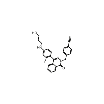 N#Cc1ccc(Cn2nc(-c3ccc(NCCCO)nc3F)c3ccccc3c2=O)cc1